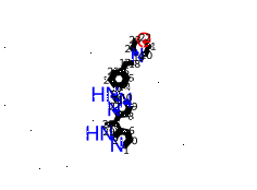 c1cnc2c(c1)C(c1ccnc(Nc3ccc(CCN4CCOCC4)cc3)n1)CN2